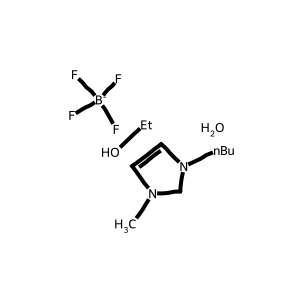 CCCCN1C=CN(C)C1.CCO.F[B-](F)(F)F.O